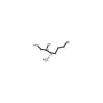 CC(C)CCC[C@H](C)[C@H](Cl)CO